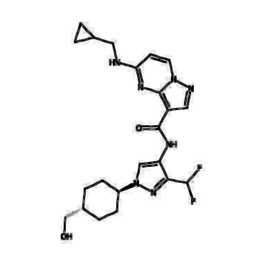 O=C(Nc1cn([C@H]2CC[C@H](CO)CC2)nc1C(F)F)c1cnn2ccc(NCC3CC3)nc12